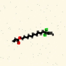 C=CC(=O)OCCCCCCCCCCC([SiH3])(Cl)Cl